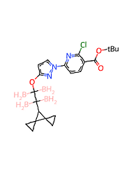 BC(B)(Oc1ccn(-c2ccc(C(=O)OC(C)(C)C)c(Cl)n2)n1)C(B)(B)C1C2(CC2)C12CC2